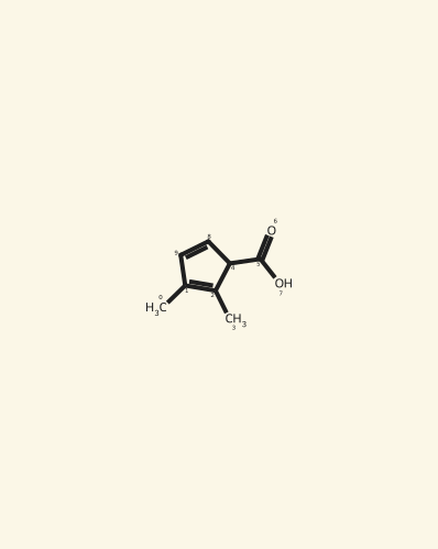 CC1=C(C)C(C(=O)O)C=C1